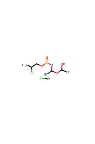 CC(C)Cl.CCC(O)OC(CC)O[PH](=O)OCC(C)Cl